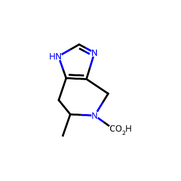 CC1Cc2[nH]cnc2CN1C(=O)O